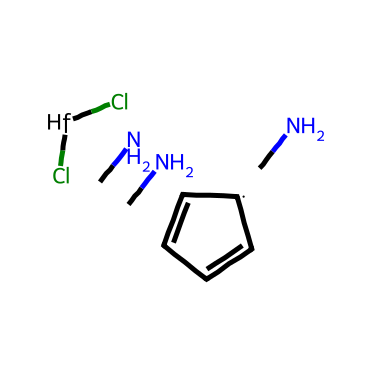 CN.CN.CN.[CH]1C=CC=C1.[Cl][Hf][Cl]